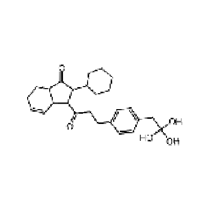 O=C1C2CCC=CC2C(C(=O)CCc2ccc(CC(O)(O)O)cc2)C1C1CCCCC1